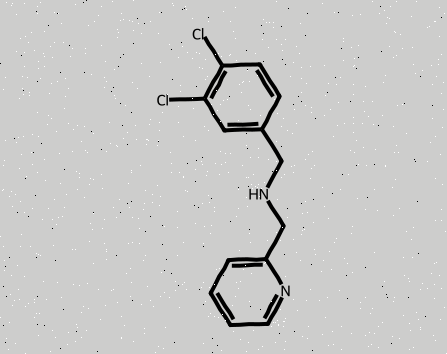 Clc1ccc(CNCc2ccccn2)cc1Cl